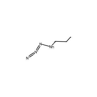 CC[CH]NN=[N+]=[N-]